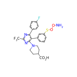 NOOSc1cccc(-c2c(-c3ccc(F)cc3)nc(C(F)(F)F)nc2N2CCC(C(=O)O)CC2)c1